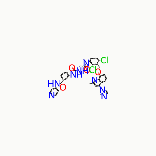 Cc1cc(-n2ccnc2)c2cccc(OCc3c(Cl)ccc(N(C)C(=O)CNC(=O)Nc4cccc(C(=O)Nc5ccncc5)c4)c3Cl)c2n1